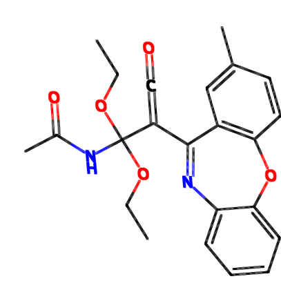 CCOC(NC(C)=O)(OCC)C(=C=O)C1=Nc2ccccc2Oc2ccc(C)cc21